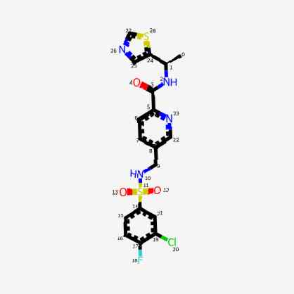 C[C@@H](NC(=O)c1ccc(CNS(=O)(=O)c2ccc(F)c(Cl)c2)cn1)c1cncs1